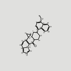 COc1ccc(C2CCC(C(=O)c3c(C4CC4)ccc4cncn34)CC2)c2ccccc12